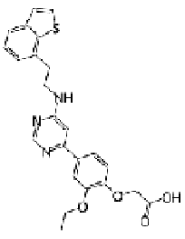 CCOc1cc(-c2cc(NCCc3cccc4ccsc34)ncn2)ccc1OCC(=O)O